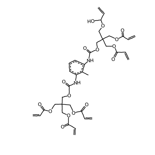 C=CC(=O)OCC(COC(=O)C=C)(COC(=O)C=C)COC(=O)Nc1cccc(NC(=O)OCC(COC(=O)C=C)(COC(=O)C=C)COC(O)C=C)c1C